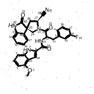 COc1cccc2[nH]c(C(=O)NC(Cc3cccc(F)c3)C(=O)N3C[C@]4(C[C@H]3C#N)C(=O)Nc3ccccc34)cc12